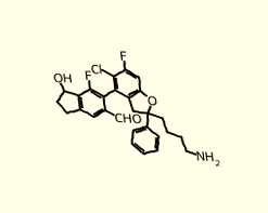 NCCCCC1(c2ccccc2)Cc2c(cc(F)c(Cl)c2-c2c(C=O)cc3c(c2F)C(O)CC3)O1